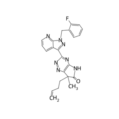 C=CCCC1(C)C(=O)Nc2nc(-c3nn(Cc4ccccc4F)c4ncccc34)nnc21